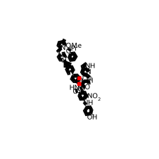 COc1nc(CN2CCN(C3CC4(CCN(c5ccc(C(=O)NS(=O)(=O)c6ccc(NC[C@H]7CC[C@](C)(O)CC7)c([N+](=O)[O-])c6)c(N6c7cc8cc[nH]c8nc7O[C@H]7COCC[C@@H]76)c5)CC4)C3)[C@@H](c3ccccc3OC(C)C)C2)ccc1C